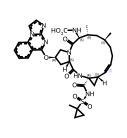 C[C@H]1CC/C=C\[C@@H]2C[C@@]2(C(=O)NS(=O)(=O)C2(C)CC2)NC(=O)[C@@H]2C[C@@H](Oc3nc4nccn4c4ccccc34)CN2C(=O)[C@@H](NC(=O)O)[C@H](C)C1